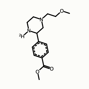 [2H]N1CCN(CCOC)CC1c1ccc(C(=O)OC)cc1